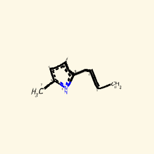 CC=Cc1ccc(C)[nH]1